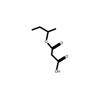 CCC(C)OC(=O)CC(=O)O